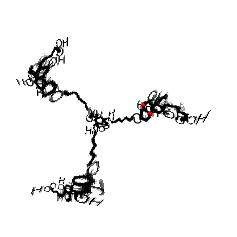 C[C@H](CCC(=O)O)[C@H]1CC[C@H]2[C@@H]3[C@H](O)C[C@@H]4C[C@@H](OCCCCCCNC(=O)C5(C)CC(C)(C(=O)NCCCCCCO[C@H]6CC[C@@]7(C)[C@@H](C6)C[C@@H](O)[C@@H]6[C@@H]7C[C@H](O)[C@]7(C)[C@@H]([C@H](C)CCC(=O)O)CC[C@@H]67)CC(C)(C(=O)NCCCCCCO[C@H]6CC[C@@]7(C)[C@@H](C6)C[C@@H](O)[C@@H]6[C@@H]7C[C@H](O)[C@]7(C)[C@@H]([C@H](C)CCC(=O)O)CC[C@@H]67)C5)CC[C@]4(C)[C@H]3C[C@H](O)[C@]12C